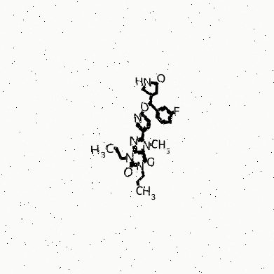 CCCn1c(=O)c2c(nc(-c3ccc(OC(c4cccc(F)c4)C4CNC(=O)C4)nc3)n2C)n(CCC)c1=O